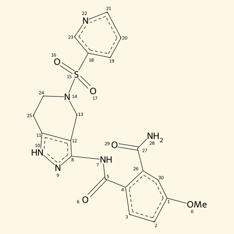 COc1ccc(C(=O)Nc2n[nH]c3c2CN(S(=O)(=O)c2cccnc2)CC3)c(C(N)=O)c1